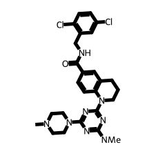 CNc1nc(N2CCN(C)CC2)nc(N2CCCc3cc(C(=O)NCc4cc(Cl)ccc4Cl)ccc32)n1